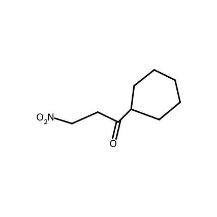 O=C(CC[N+](=O)[O-])C1CCCCC1